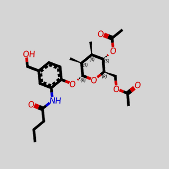 CCCC(=O)Nc1cc(CO)ccc1O[C@H]1O[C@H](COC(C)=O)[C@@H](OC(C)=O)[C@H](C)[C@@H]1C